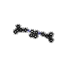 C(=C\c1ccc2c(c1)C1(c3ccccc3-c3ccccc31)c1cc(/C=C/c3ccc(-c4ccc5c(c4)-c4ccccc4[Si]54Cc5ccccc5C4)cc3)ccc1-2)/c1ccc(-c2ccc3c(c2)-c2ccccc2[Si]32Cc3ccccc3C2)cc1